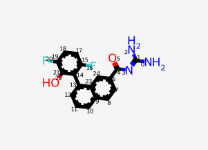 NC(N)=NC(=O)c1ccc2cccc(-c3c(F)ccc(F)c3O)c2c1